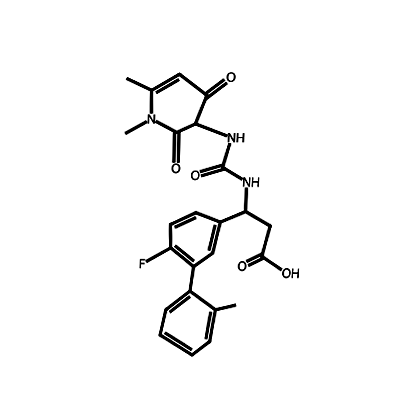 CC1=CC(=O)C(NC(=O)NC(CC(=O)O)c2ccc(F)c(-c3ccccc3C)c2)C(=O)N1C